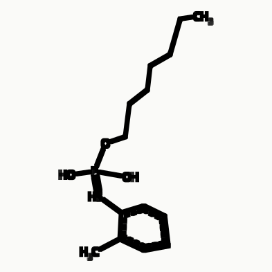 CCCCCCCOP(O)(O)=[SH]c1ccccc1C